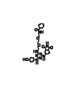 O=C(NCCOCCOCCNc1nc(Nc2ccc(O)cc2)nc(Nc2ccc3c(c2)C(=O)NC3=O)n1)c1ccccc1